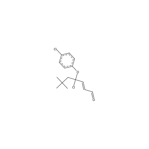 CC(C)(C)CC(Cl)(C=CC=O)Oc1ccc(Cl)cc1